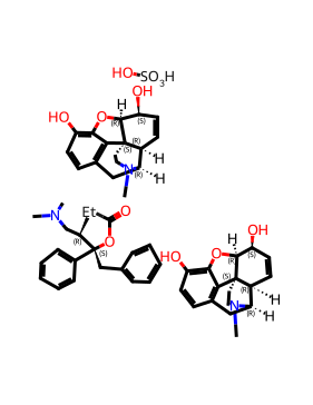 CCC(=O)O[C@](Cc1ccccc1)(c1ccccc1)[C@H](C)CN(C)C.CN1CC[C@]23c4c5ccc(O)c4O[C@H]2[C@@H](O)C=C[C@H]3[C@H]1C5.CN1CC[C@]23c4c5ccc(O)c4O[C@H]2[C@@H](O)C=C[C@H]3[C@H]1C5.O=S(=O)(O)O